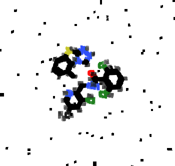 Cc1cccc2sc3nncn3c12.O=C(NCc1ncc(C(F)(F)F)cc1Cl)c1c(Cl)cccc1Cl